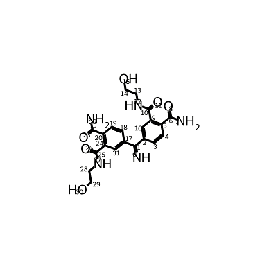 N=C(c1ccc(C(N)=O)c(C(=O)NCCO)c1)c1ccc(C(N)=O)c(C(=O)NCCO)c1